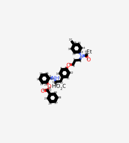 CCC(=O)N(CCCOc1ccc(CC(Nc2ccccc2OC(=O)c2ccccc2)C(=O)O)cc1)c1ccc(C)cc1